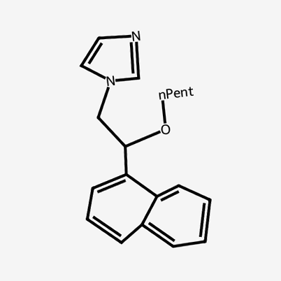 CCCCCOC(Cn1ccnc1)c1cccc2ccccc12